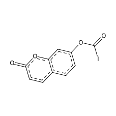 O=C(I)Oc1ccc2ccc(=O)oc2c1